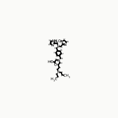 CCCN(CCC)CCCCN(CC(=O)O)Cc1ccc(CN(CC2=NCCN2C)Cc2ncc[nH]2)cc1